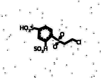 O=S(=O)(O)c1[c]cc(S(=O)(=O)CCCl)c(S(=O)(=O)O)c1